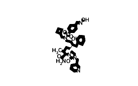 CC(CC[C@@H](Cc1ccccc1)[C@@H](O)CN(CC1CCC1)S(=O)(=O)c1ccc(C=NO)cc1)C(C(N)=O)N1CCN(Cc2cccnc2)C1=O